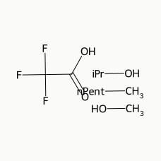 CC(C)O.CCCCCC.CO.O=C(O)C(F)(F)F